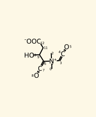 C[N+](C)(C=C=O)C(=C=O)C(O)CC(=O)[O-]